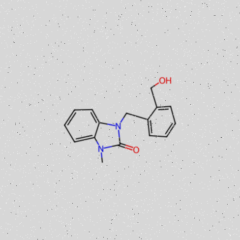 Cn1c(=O)n(Cc2ccccc2CO)c2ccccc21